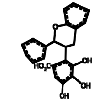 O=C(O)c1cc(O)c(O)c(O)c1C1Cc2ccccc2OC1c1ccccc1